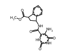 COC(=O)C1CC(NC(=O)c2[nH]c(=O)[nH]c(=O)c2N)c2ccccc21